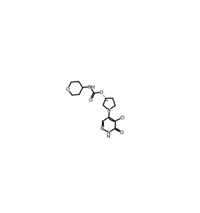 O=C(NC1CCOCC1)O[C@@H]1CCN(c2cn[nH]c(=O)c2Cl)C1